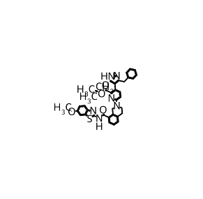 COc1ccc2nc(NC(=O)c3cccc4c3CN(c3ccc(-c5c[nH]nc5Cc5ccccc5)c(C(=O)OC(C)(C)C)n3)CC4)sc2c1